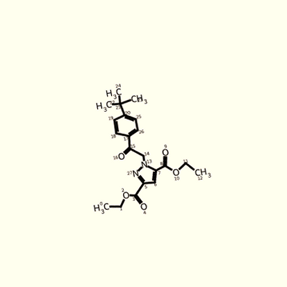 CCOC(=O)c1cc(C(=O)OCC)n(CC(=O)c2ccc(C(C)(C)C)cc2)n1